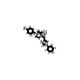 Cl.Cl.Fc1ccc(N2CCN(Cc3cn(-c4ccccc4)cn3)CC2)cc1